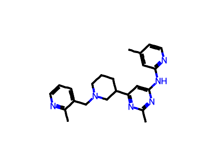 Cc1ccnc(Nc2cc(C3CCCN(Cc4cccnc4C)C3)nc(C)n2)c1